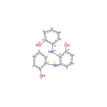 Oc1ccccc1Nc1cccc(O)c1Nc1ccccc1O